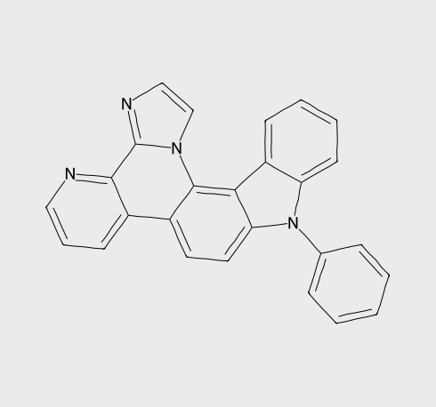 c1ccc(-n2c3ccccc3c3c2ccc2c4cccnc4c4nccn4c23)cc1